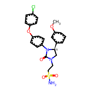 COc1cccc([C@H]2CN(CCS(N)(=O)=O)C(=O)N2c2ccc(Oc3ccc(Cl)cc3)cc2)c1